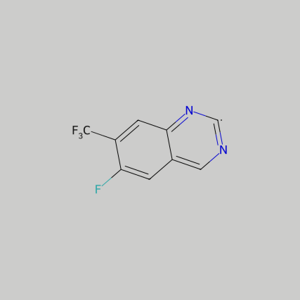 Fc1cc2cn[c]nc2cc1C(F)(F)F